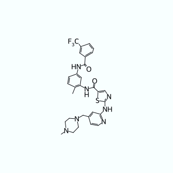 Cc1ccc(NC(=O)c2cccc(C(F)(F)F)c2)cc1NC(=O)c1cnc(Nc2cc(CN3CCN(C)CC3)ccn2)s1